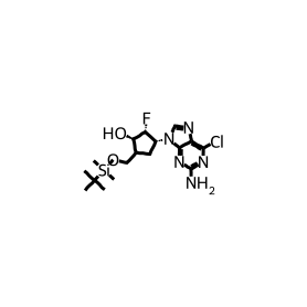 CC(C)(C)[Si](C)(C)OCC1C[C@@H](n2cnc3c(Cl)nc(N)nc32)[C@@H](F)[C@@H]1O